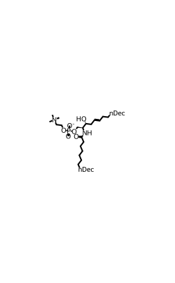 CCCCCCCCCCCCC=CC[C@@H](O)[C@H](COP(=O)([O-])OCC[N+](C)(C)C)NC(=O)CCCCCCCCCCCCCCCC